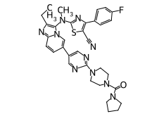 CCc1nc2ccc(-c3cnc(N4CCN(C(=O)N5CCCC5)CC4)nc3)cn2c1N(C)c1nc(-c2ccc(F)cc2)c(C#N)s1